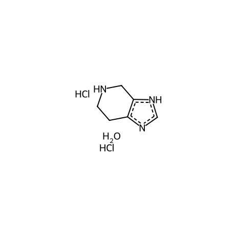 Cl.Cl.O.c1nc2c([nH]1)CNCC2